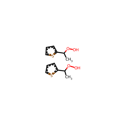 CC(OO)c1cccs1.CC(OO)c1cccs1